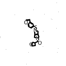 O=C(C1CCOC1)N1CC2=C(CN(Sc3ccc4occc4c3)C2)C1